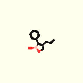 C=CCC1=C(c2ccccc2)B(O)OC1